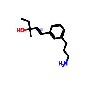 CCC(C)(O)/C=C/c1cccc(CCCN)c1